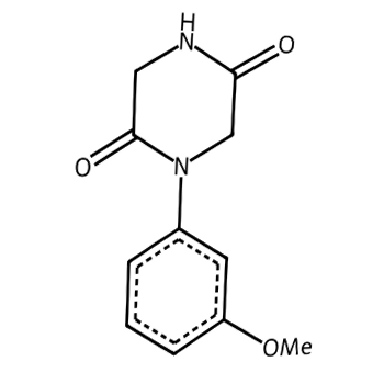 COc1cccc(N2CC(=O)NCC2=O)c1